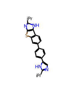 CC(C)c1ncc(-c2ccc(-c3ccc4c(c3)sc3nc(C(C)C)[nH]c34)cc2)[nH]1